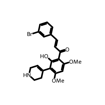 COc1cc(OC)c(C2=CCNCC2)c(O)c1C(=O)/C=C/c1cccc(Br)c1